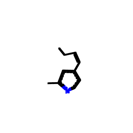 CC/C=C\c1ccnc(C)c1